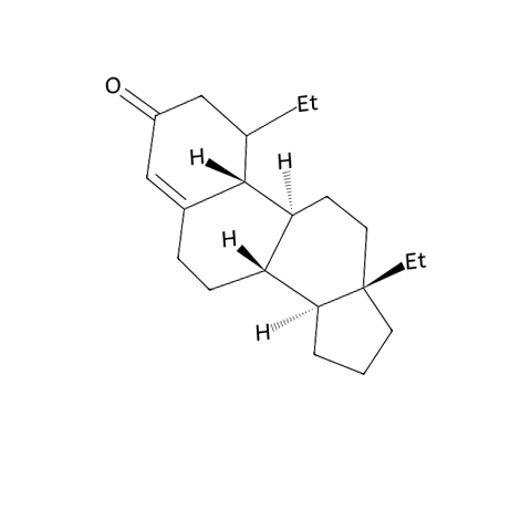 CCC1CC(=O)C=C2CC[C@@H]3[C@H](CC[C@]4(CC)CCC[C@@H]34)[C@H]21